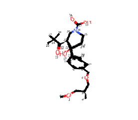 COC[C@H](C)COCc1ccc([C@@]2(O)CCN(C(=O)O)C[C@@H]2C(=O)C(C)(C)C)cc1